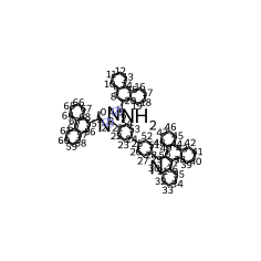 C=C(/N=C(\N=C(/N)c1cc2ccccc2c2ccccc12)c1ccc(-c2ccc(-c3nc4ccccc4c4c5ccccc5c5ccccc5c34)cc2)cc1)c1cc2ccccc2c2ccccc12